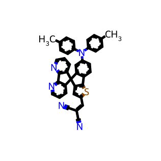 Cc1ccc(N(c2ccc(C)cc2)c2ccc3c(c2)C2(c4cccnc4-c4ncccc42)c2cc(C=C(C#N)C#N)sc2-3)cc1